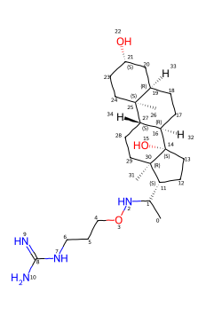 CC(NOCCCNC(=N)N)[C@H]1CC[C@]2(O)[C@@H]3CC[C@@H]4C[C@@H](O)CC[C@]4(C)[C@H]3CC[C@]12C